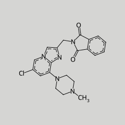 CN1CCN(c2cc(Cl)cn3cc(CN4C(=O)c5ccccc5C4=O)nc23)CC1